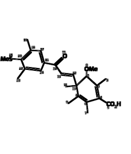 COC1C(C)=C(C(=O)O)C(C)=C(C)C1(C)C=CC(=O)c1cc(C)c(SC)c(C)c1